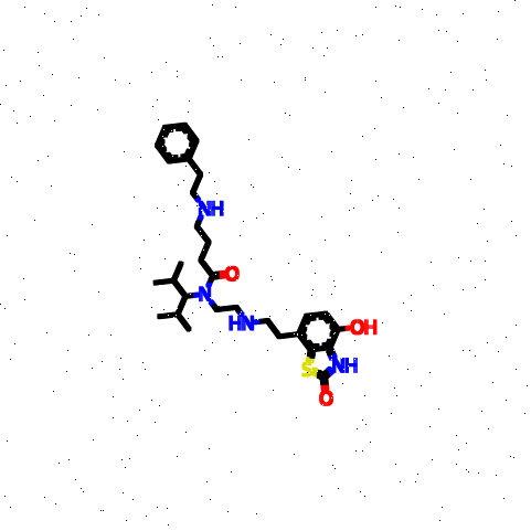 CC(C)C(C(C)C)N(CCNCCc1ccc(O)c2[nH]c(=O)sc12)C(=O)CCCNCCc1ccccc1